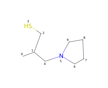 CC(CS)CN1CCCC1